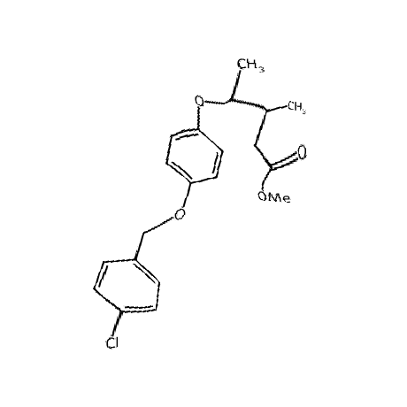 COC(=O)CC(C)C(C)Oc1ccc(OCc2ccc(Cl)cc2)cc1